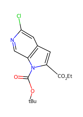 CCOC(=O)c1cc2cc(Cl)ncc2n1C(=O)OC(C)(C)C